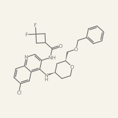 O=C(Nc1cnc2ccc(Cl)cc2c1N[C@@H]1CCO[C@H](COCc2ccccc2)C1)C1CC(F)(F)C1